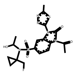 CC(=O)n1c(=O)n(-c2nnc(C)s2)c2cc(S(=O)(=O)N(C(C)O)C3(CF)CC3)ccc21